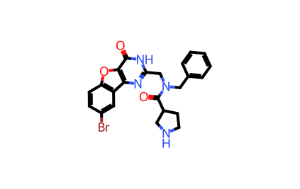 O=C(C1CCNC1)N(Cc1ccccc1)Cc1nc2c(oc3ccc(Br)cc32)c(=O)[nH]1